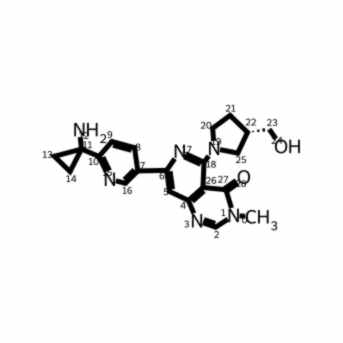 Cn1cnc2cc(-c3ccc(C4(N)CC4)nc3)nc(N3CC[C@H](CO)C3)c2c1=O